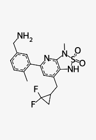 Cc1ccc(CN)cc1-c1cc(CC2CC2(F)F)c2c(n1)N(C)S(=O)(=O)N2